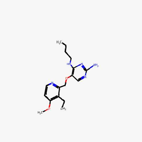 CCCCNc1nc(N)ncc1OCc1nccc(OC)c1CC